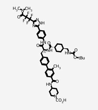 Cc1cc(C(=O)NC2CCN(C(=O)O)CC2)ccc1-c1ccc(C[C@H](NC(=O)[C@H]2CC[C@H](CNC(=O)OC(C)(C)C)CC2)C(=O)Nc2ccc(-c3nc(C(F)(F)C(F)(F)C(=O)N(C)C)n[nH]3)cc2)cc1